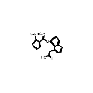 O=C(O)Cc1cccc2ccccc12.O=C(O)c1ccccc1[N+](=O)[O-]